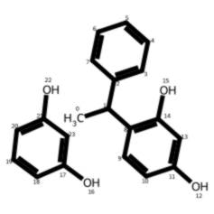 CC(c1ccccc1)c1ccc(O)cc1O.Oc1cccc(O)c1